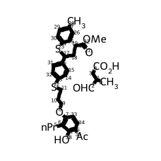 CC(C=O)CC(=O)O.CCCc1c(OCCCSc2ccc(C(CCC(=O)OC)Sc3ccc(C)cc3)cc2)ccc(C(C)=O)c1O